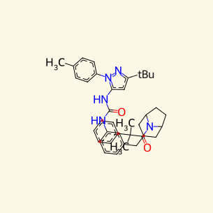 Cc1ccc(-n2nc(C(C)(C)C)cc2NC(=O)Nc2cccc(CC3CC4CCC(C3)N4C(=O)C(C)(C)c3ccccc3)c2)cc1